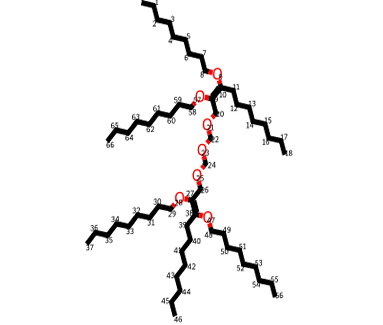 CCCCCCCCCOC(CCCCCCCC)=C(COCOCOCC(OCCCCCCCCC)=C(CCCCCCCC)OCCCCCCCCC)OCCCCCCCCC